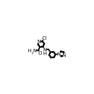 NC(=O)c1cnc(Cl)cc1NCc1cccc(-n2ccnc2)c1